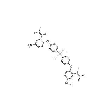 Nc1ccc(Oc2ccc(C(c3ccc(Oc4ccc(N)cc4C(F)=C(F)F)cc3)(C(F)(F)F)C(F)(F)F)cc2)c(C(F)=C(F)F)c1